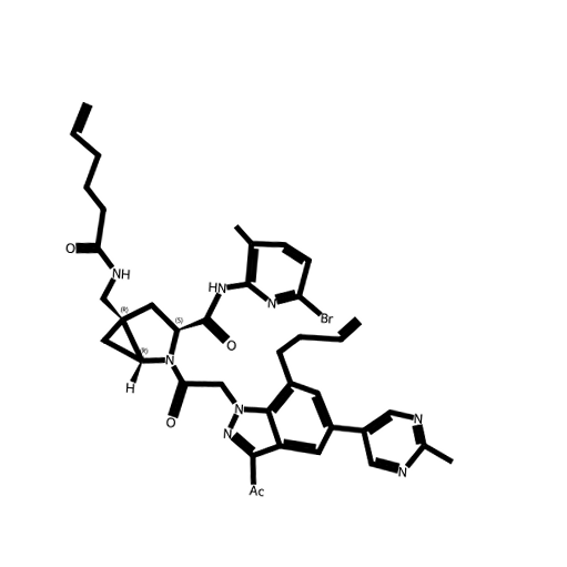 C=CCCCC(=O)NC[C@@]12C[C@@H](C(=O)Nc3nc(Br)ccc3C)N(C(=O)Cn3nc(C(C)=O)c4cc(-c5cnc(C)nc5)cc(CCC=C)c43)[C@@H]1C2